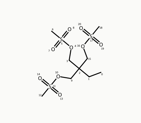 CCC(COS(C)(=O)=O)(COS(C)(=O)=O)COS(C)(=O)=O